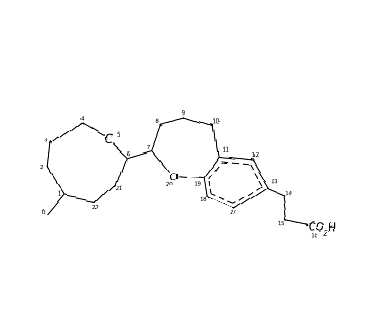 CC1CCCCC(C2CCCc3cc(CCC(=O)O)ccc3O2)CC1